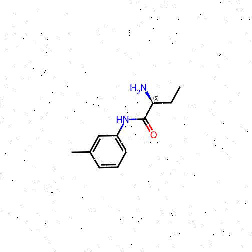 CC[C@H](N)C(=O)Nc1cccc(C)c1